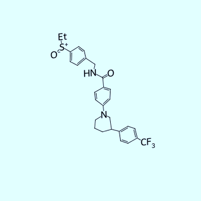 CC[S+]([O-])c1ccc(CNC(=O)c2ccc(N3CCCC(c4ccc(C(F)(F)F)cc4)C3)cc2)cc1